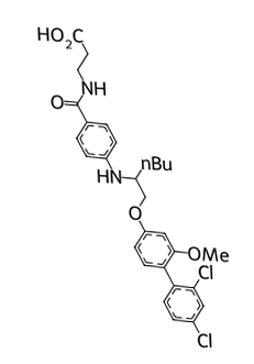 CCCCC(COc1ccc(-c2ccc(Cl)cc2Cl)c(OC)c1)Nc1ccc(C(=O)NCCC(=O)O)cc1